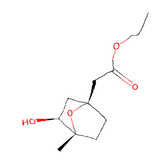 CCOC(=O)C[C@@]12CC[C@@](C)(O1)[C@@H](O)C2